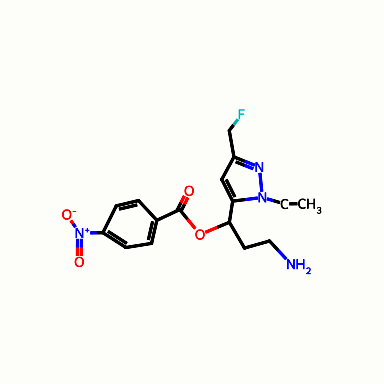 CCn1nc(CF)cc1C(CCN)OC(=O)c1ccc([N+](=O)[O-])cc1